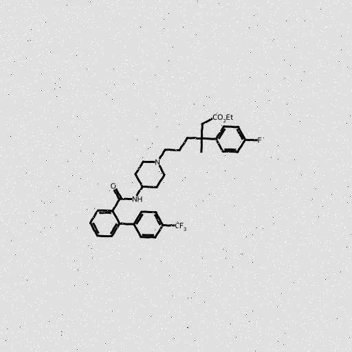 CCOC(=O)CC(C)(CCCN1CCC(NC(=O)c2ccccc2-c2ccc(C(F)(F)F)cc2)CC1)c1ccc(F)cc1